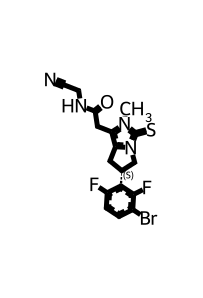 Cn1c(CC(=O)NCC#N)c2n(c1=S)C[C@H](c1c(F)ccc(Br)c1F)C2